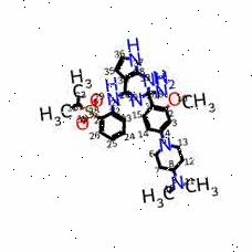 COc1cc(N2CCC(N(C)C)CC2)ccc1C1(N)N=C(Nc2ccccc2S(=O)(=O)C(C)C)c2cc[nH]c2N1